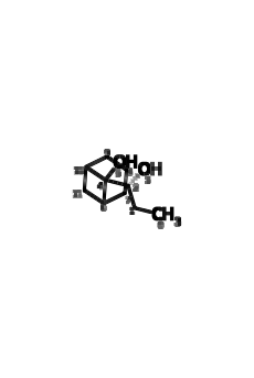 CC[C@@H](O)C1(O)C2CCCC1C2